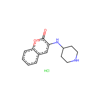 Cl.O=c1oc2ccccc2cc1NC1CCNCC1